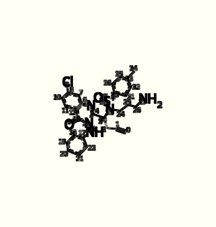 C#CC[C@H](c1nc2cc(Cl)ccc2c(=O)n1Nc1ccccc1)N(CCCN)[S+]([O-])c1ccc(C)cc1